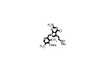 COc1c(C)cnc(Cn2cc(CCNC(C)(C)C)c3c(Cl)nc(N)nc32)c1C